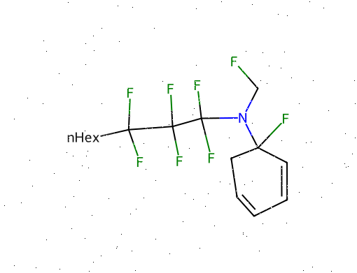 CCCCCCC(F)(F)C(F)(F)C(F)(F)N(CF)C1(F)C=CC=CC1